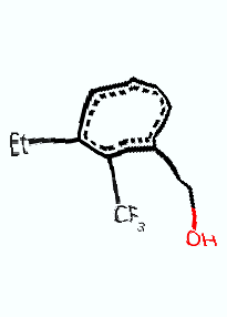 CCc1cccc(CO)c1C(F)(F)F